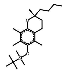 CCCC[C@]1(C)CCc2c(C)c(O[Si](C)(C)C(C)(C)C)c(C)c(C)c2O1